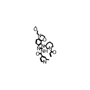 C=CC(=O)N1CCCCC(n2c(NC(=O)c3ccnc(C)c3)nc3ccc4c(c32)OCCN4CCOC)C1